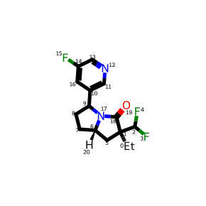 CCC1(C(F)F)C[C@@H]2CCC(c3cncc(F)c3)N2C1=O